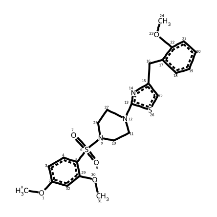 COc1ccc(S(=O)(=O)N2CCN(c3nc(Cc4ccccc4OC)cs3)CC2)c(OC)c1